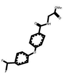 COC(=O)CNC(=O)c1ccc(Oc2ccc(C(F)F)cc2)cc1